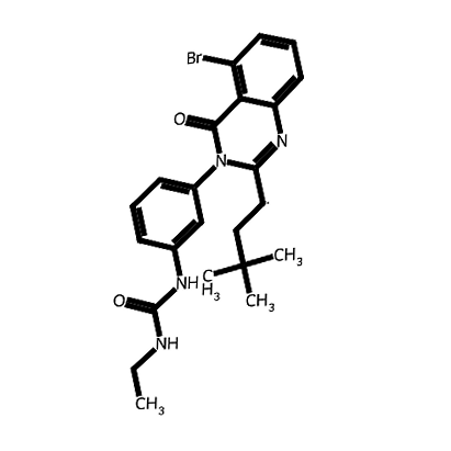 CCNC(=O)Nc1cccc(-n2c([CH]CC(C)(C)C)nc3cccc(Br)c3c2=O)c1